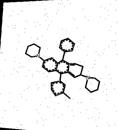 Cc1cccc(-c2c3c(c(-c4ccccc4)c4cc(N5CCCCC5)ccc24)=CCC(N2CCCCC2)C=3)c1